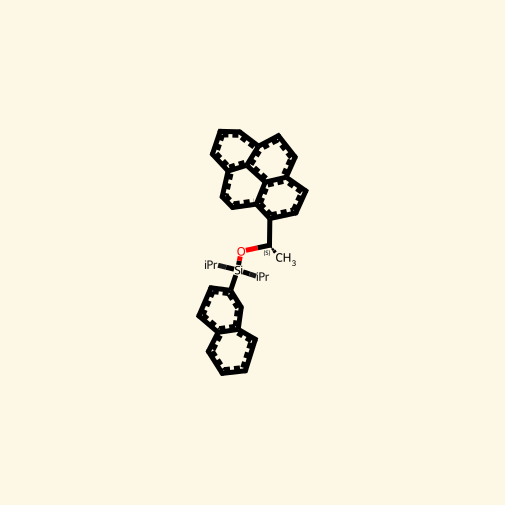 CC(C)[Si](O[C@@H](C)c1ccc2ccc3cccc4ccc1c2c34)(c1ccc2ccccc2c1)C(C)C